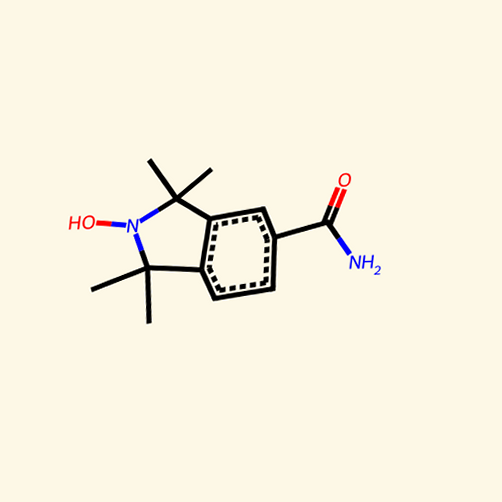 CC1(C)c2ccc(C(N)=O)cc2C(C)(C)N1O